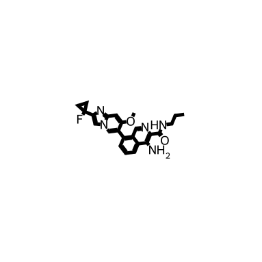 CCCNC(=O)c1ncc2c(-c3cn4cc(C5(F)CC5)nc4cc3OC)cccc2c1N